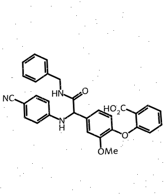 COc1cc(C(Nc2ccc(C#N)cc2)C(=O)NCc2ccccc2)ccc1Oc1ccccc1C(=O)O